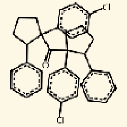 O=C(C1(c2ccc(Cl)cc2)CCCC1c1ccccc1)C1(c2ccc(Cl)cc2)CCCC1c1ccccc1